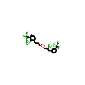 FC(F)(F)c1cccc(C=CCOCC=Cc2cccc(C(F)(F)F)c2Br)c1Br